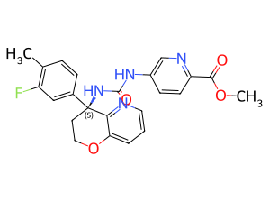 COC(=O)c1ccc(NC(=O)N[C@]2(c3ccc(C)c(F)c3)CCOc3cccnc32)cn1